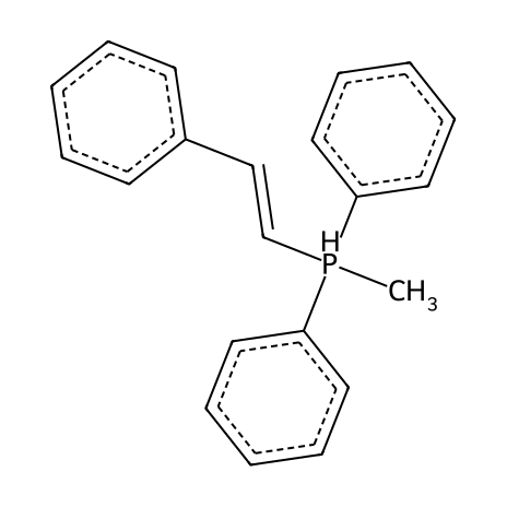 C[PH](C=Cc1ccccc1)(c1ccccc1)c1ccccc1